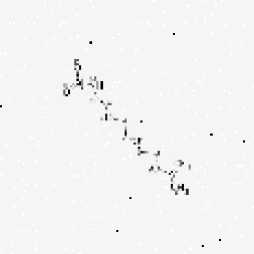 CC(C)OCCOCCOCCN[SH](=O)=O